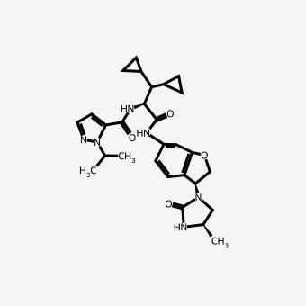 CC(C)n1nccc1C(=O)N[C@H](C(=O)Nc1ccc2c(c1)OC[C@H]2N1C[C@@H](C)NC1=O)C(C1CC1)C1CC1